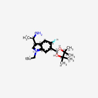 C[C@@H](N)c1cn(CC(C)(C)C)c2cc(B3OC(C)(C)C(C)(C)O3)c(F)cc12